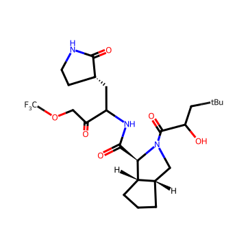 CC(C)(C)CC(O)C(=O)N1C[C@@H]2CCC[C@@H]2[C@H]1C(=O)NC(C[C@@H]1CCNC1=O)C(=O)COC(F)(F)F